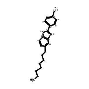 CCCCCCCCc1ccc2oc(-c3ccc(O)cc3)nc2c1